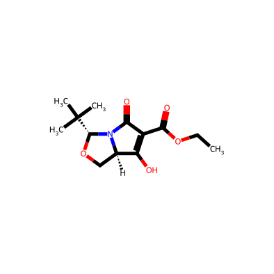 CCOC(=O)C1=C(O)[C@H]2CO[C@H](C(C)(C)C)N2C1=O